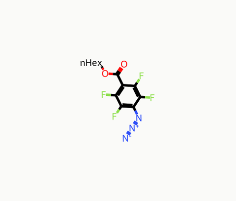 [CH2]CCCCCOC(=O)c1c(F)c(F)c(N=[N+]=[N-])c(F)c1F